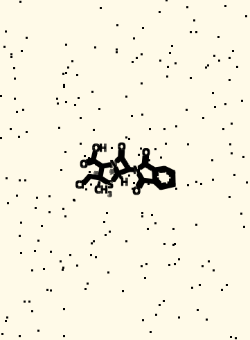 C[C@@]1(CCl)S[C@@H]2C(N3C(=O)c4ccccc4C3=O)C(=O)N2C1C(=O)O